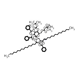 CCCCCCCCCCCCC/C=C/[C@@H](OC(=O)c1ccccc1)[C@H](CO[C@@]1(C)O[C@H](COC(=O)OC(C)(C)C)[C@H](OC(=O)OC(C)(C)C)[C@H](OC(=O)c2ccccc2)[C@H]1OC(=O)c1ccccc1)NC(=O)CCCCCCCCCCCCCCC